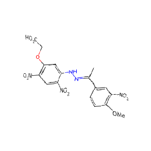 COc1ccc(C(C)=NNc2cc(OCC(=O)O)c([N+](=O)[O-])cc2[N+](=O)[O-])cc1[N+](=O)[O-]